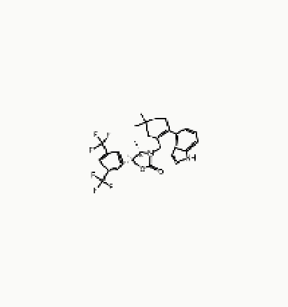 C[C@H]1[C@@H](c2cc(C(F)(F)F)cc(C(F)(F)F)c2)OC(=O)N1CC1=C(c2cccc3[nH]ccc23)CCC(C)(C)C1